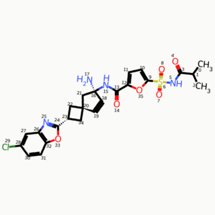 CC(C)C(=O)NS(=O)(=O)c1ccc(C(=O)N[C@@]2(N)C#C[C@]3(C2)C[C@@H](c2nc4cc(Cl)ccc4o2)C3)o1